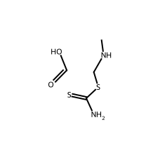 CNCSC(N)=S.O=CO